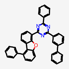 c1ccc(-c2cccc(-c3nc(-c4ccccc4)nc(-c4cccc5c4oc4cccc(-c6ccccc6)c45)n3)c2)cc1